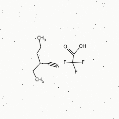 CCCC(C#N)CC.O=C(O)C(F)(F)F